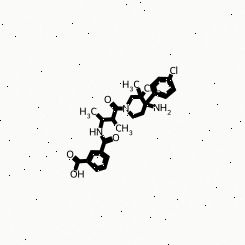 CC(NC(=O)c1cccc(C(=O)O)c1)C(C)C(=O)N1CCC(N)(c2ccc(Cl)cc2)C(C)(C)C1